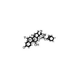 CC1C[C@H]2[C@@H]3C[C@H](F)C4=CC(=O)C=C[C@]4(C)C3(F)[C@@H](O)C[C@]2(C)C1(OC(=O)OC1CC2CCC1C2)C(=O)O